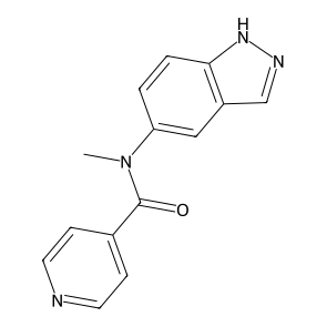 CN(C(=O)c1ccncc1)c1ccc2[nH]ncc2c1